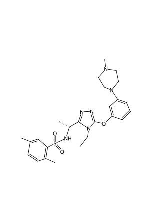 CCn1c(Oc2cccc(N3CCN(C)CC3)c2)nnc1[C@@H](C)NS(=O)(=O)c1cc(C)ccc1C